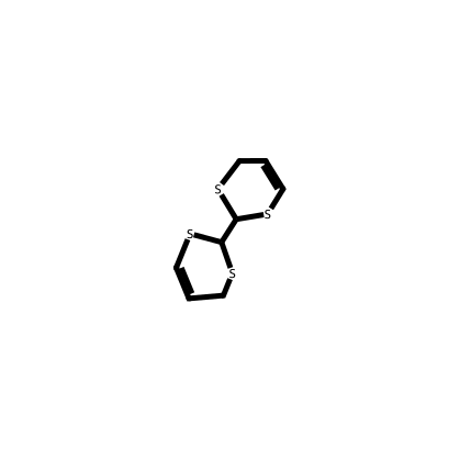 C1=CSC(C2SC=CCS2)SC1